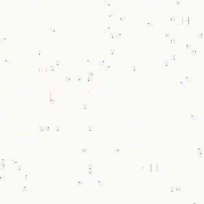 C=CCc1ccccc1[PH](=O)OCCCC